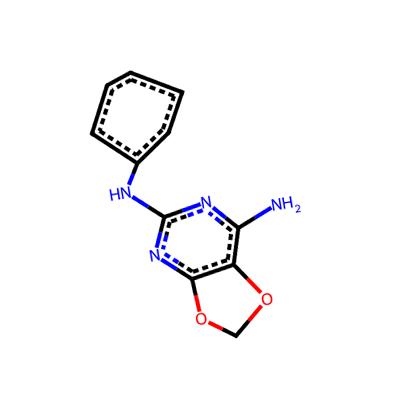 Nc1nc(Nc2ccccc2)nc2c1OCO2